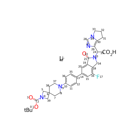 CC(C)(C)OC(=O)N1CC2(CCN(c3ccc(-c4cc(F)c5c(c4)C(=O)N(C(C(=O)O)c4ncn6c4CCC6)C5)cc3)CC2)C1.[Li]